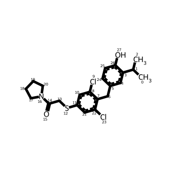 CC(C)c1cc(Cc2c(Cl)cc(SCC(=O)N3CCCC3)cc2Cl)ccc1O